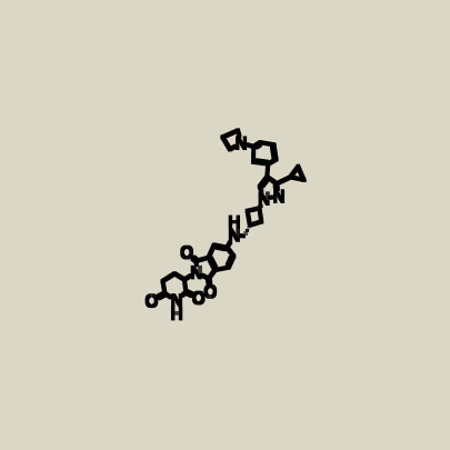 O=C1CCC(N2C(=O)c3ccc(NC[C@H]4C[C@H](n5cc(-c6cccc(N7CCC7)c6)c(C6CC6)n5)C4)cc3C2=O)C(=O)N1